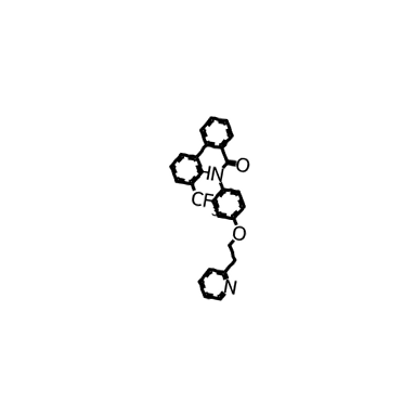 O=C(Nc1ccc(OCCc2ccccn2)cc1)c1ccccc1-c1cccc(C(F)(F)F)c1